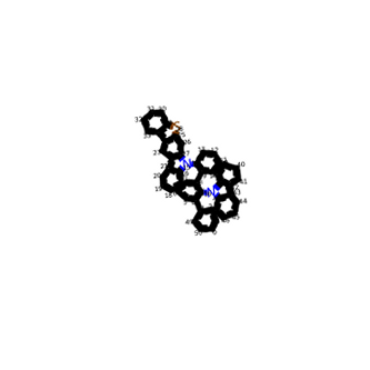 c1ccc(-c2cccc(-c3ccccc3-n3c4ccccc4c4cc5c(cc43)sc3ccccc35)c2-n2c3ccccc3c3ccccc32)cc1